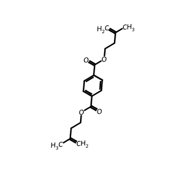 C=C(C)CCOC(=O)c1ccc(C(=O)OCCC(=C)C)cc1